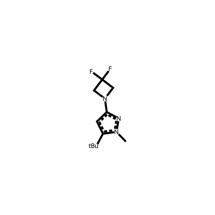 Cn1nc(N2CC(F)(F)C2)cc1C(C)(C)C